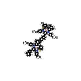 CC(C)(C)c1ccc(N2c3cc4c(cc3B3c5c2cc(-c2ccc6c(c2)CCC(CC2(C)CCC(C)(C)c7cc8c(cc72)B2c7c(cc(-c9ccc%10c(c9)C(C)(C)CCC%10(C)C)cc7N(c7ccc(C(C)(C)C)cc7)c7sc9c(c72)C(C)(C)CCC9(C)C)N8c2ccc(C(C)(C)C)cc2)C6)cc5N(c2ccc(C(C)(C)C)cc2)c2sc5c(c23)C(C)(C)CCC5(C)C)C(C)(C)CCC4(C)C)cc1